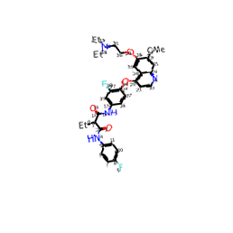 CCC(C(=O)Nc1ccc(F)cc1)C(=O)Nc1ccc(Oc2ccnc3cc(OC)c(OCCN(CC)CC)cc23)c(F)c1